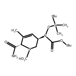 CC1=C[C@@H](N(O[Si](C)(C)C(C)(C)C)C(=O)OC(C)(C)C)CN(C(=O)O)[C@@H]1C(N)=O